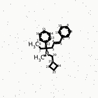 CCC(C/C=C/c1ccccc1)(c1ccccc1)N(C)CC1CCC1